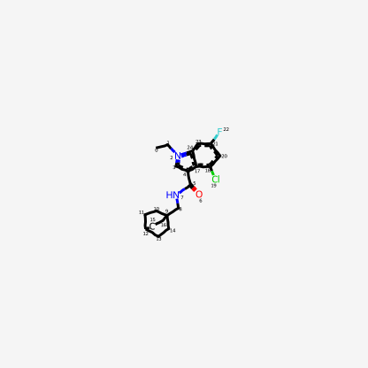 CCn1cc(C(=O)NCC23CCC(CC2)CC3)c2c(Cl)cc(F)cc21